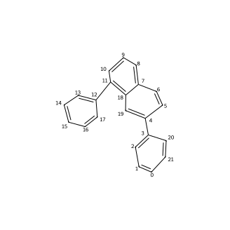 c1ccc(-c2ccc3cccc(-c4ccccc4)c3c2)cc1